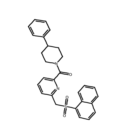 O=C(c1cccc(CS(=O)(=O)c2cccc3ccccc23)n1)N1CCC(c2ccccc2)CC1